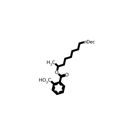 CCCCCCCCCCCCCCCCC(C)OC(=O)c1ccccc1C(=O)O